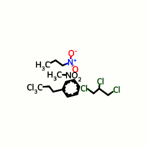 CCC[N+](=O)[O-].C[N+](=O)[O-].ClC(Cl)(Cl)CCc1ccccc1.ClCC(Cl)CCl